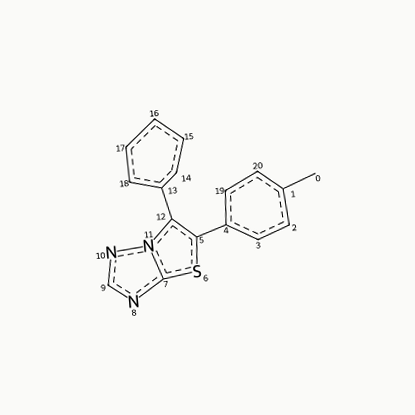 Cc1ccc(-c2sc3ncnn3c2-c2ccccc2)cc1